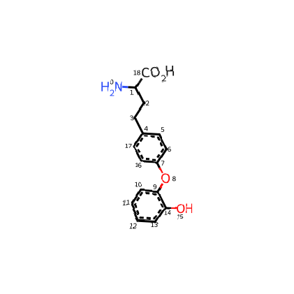 NC(CCc1ccc(Oc2ccccc2O)cc1)C(=O)O